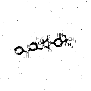 CC1(C)CNc2cc(N3C(=O)N(Cc4ccnc(Nc5cccnc5)c4)C(C)(C)C3=O)ccc21